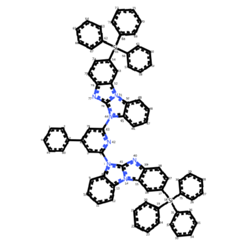 c1ccc(-c2cc(-n3c4ccccc4n4c5cc([Si](c6ccccc6)(c6ccccc6)c6ccccc6)ccc5nc34)nc(-n3c4ccccc4n4c5cc([Si](c6ccccc6)(c6ccccc6)c6ccccc6)ccc5nc34)c2)cc1